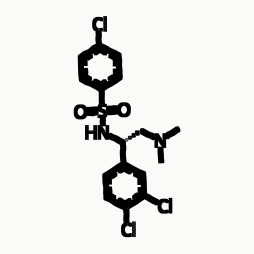 CN(C)C[C@@H](NS(=O)(=O)c1ccc(Cl)cc1)c1ccc(Cl)c(Cl)c1